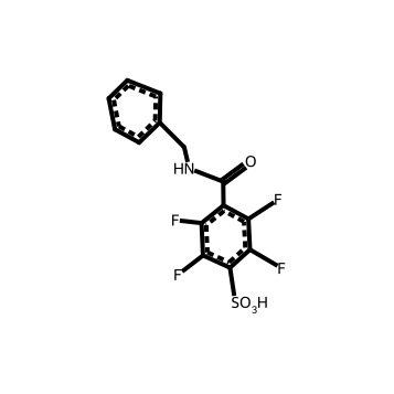 O=C(NCc1ccccc1)c1c(F)c(F)c(S(=O)(=O)O)c(F)c1F